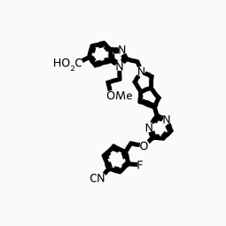 [C-]#[N+]c1ccc(COc2ccnc(C3=CC4CN(Cc5nc6ccc(C(=O)O)cc6n5CCOC)CC4C3)n2)c(F)c1